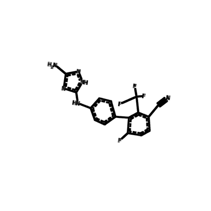 N#Cc1ccc(F)c(-c2ccc(Nc3nc(N)n[nH]3)cc2)c1C(F)(F)F